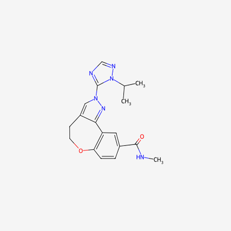 CNC(=O)c1ccc2c(c1)-c1nn(-c3ncnn3C(C)C)cc1CCO2